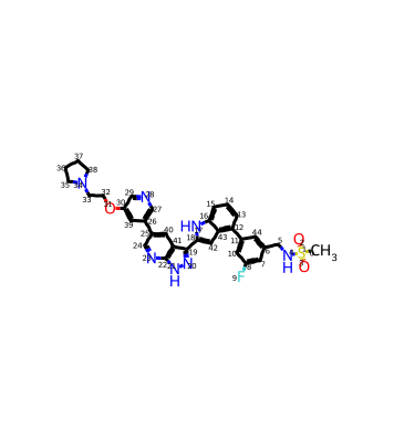 CS(=O)(=O)NCc1cc(F)cc(-c2cccc3[nH]c(-c4n[nH]c5ncc(-c6cncc(OCCN7CCCC7)c6)cc45)cc23)c1